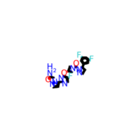 NC(=O)Cn1nccc1-c1ncc(F)c(OC2CN(C(=O)N3N=CCC3c3cc(F)cc(F)c3)C2)n1